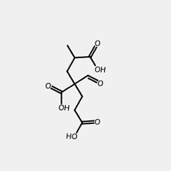 CC(CC(C=O)(CCC(=O)O)C(=O)O)C(=O)O